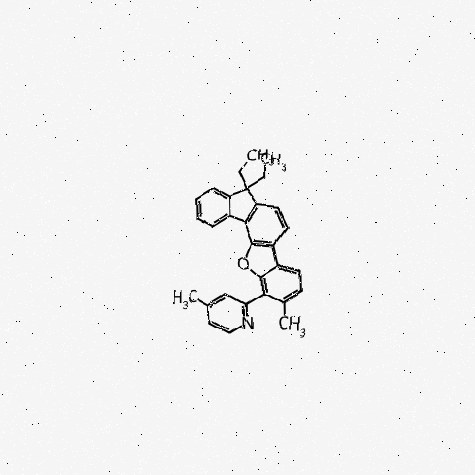 CCC1(CC)c2ccccc2-c2c1ccc1c2oc2c(-c3cc(C)ccn3)c(C)ccc21